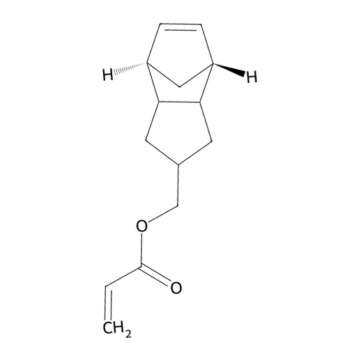 C=CC(=O)OCC1CC2C(C1)[C@H]1C=C[C@H]2C1